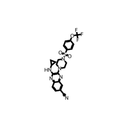 N#Cc1ccc2nc(NC3CC3)c(N3CCN(S(=O)(=O)c4ccc(OC(F)(F)F)cc4)CC3)nc2c1